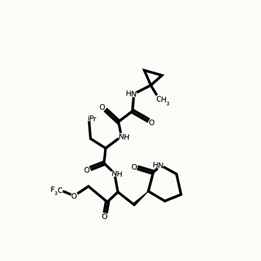 CC(C)CC(NC(=O)C(=O)NC1(C)CC1)C(=O)NC(C[C@@H]1CCCNC1=O)C(=O)COC(F)(F)F